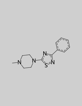 CN1CCN(c2nc(-c3ccccc3)ns2)CC1